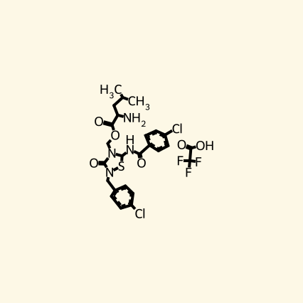 CC(C)CC(N)C(=O)OCN1C(=O)N(Cc2ccc(Cl)cc2)SC1NC(=O)c1ccc(Cl)cc1.O=C(O)C(F)(F)F